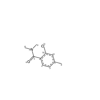 Cc1ccc(C(=O)N(C)C)c(Cl)c1